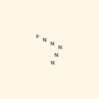 [Ir].[N].[N].[N].[N].[N]